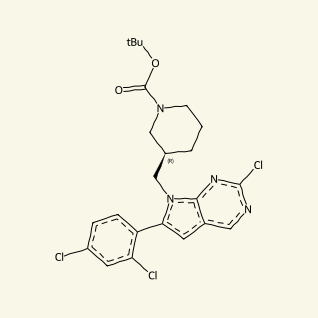 CC(C)(C)OC(=O)N1CCC[C@@H](Cn2c(-c3ccc(Cl)cc3Cl)cc3cnc(Cl)nc32)C1